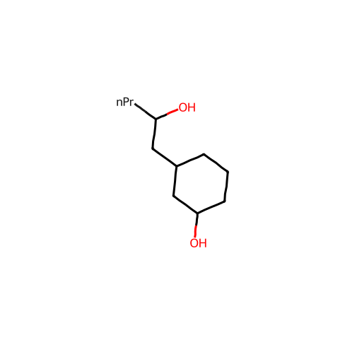 CCCC(O)CC1CCCC(O)C1